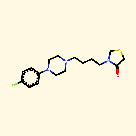 O=C1CSCN1CCCCN1CCN(c2ccc(F)cc2)CC1